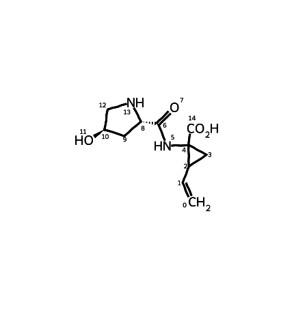 C=CC1CC1(NC(=O)[C@@H]1C[C@@H](O)CN1)C(=O)O